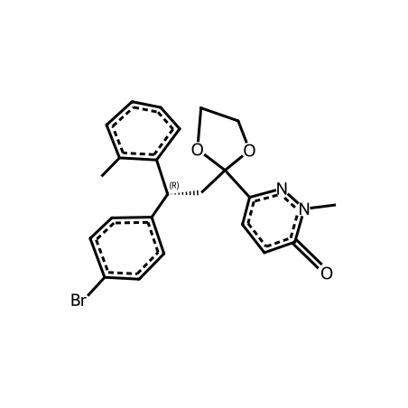 Cc1ccccc1[C@H](CC1(c2ccc(=O)n(C)n2)OCCO1)c1ccc(Br)cc1